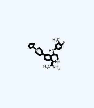 C/C(N)=C1/NCCC(Nc2ccc(F)c(C)c2)c2cc(C3=CCN(C4CCCC4)CC3)ccc21